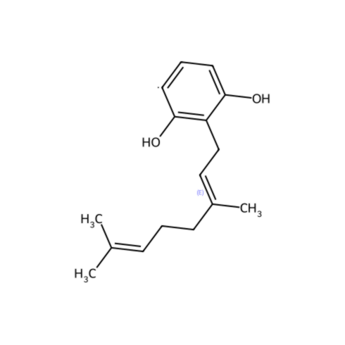 CC(C)=CCC/C(C)=C/Cc1c(O)[c]ccc1O